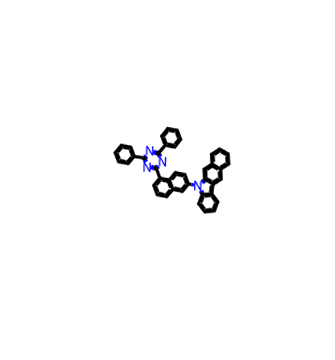 c1ccc(-c2nc(-c3ccccc3)nc(-c3cccc4cc(-n5c6ccccc6c6cc7ccccc7cc65)ccc34)n2)cc1